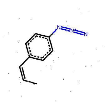 C/C=C\c1ccc(N=[N+]=[N-])cc1